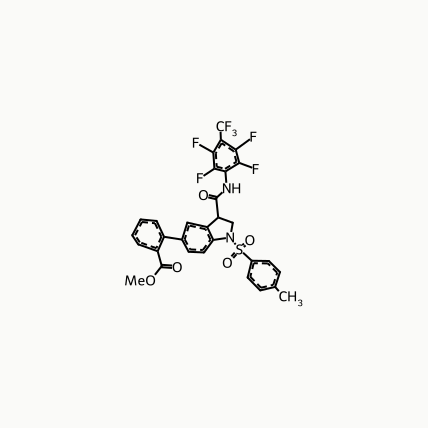 COC(=O)c1ccccc1-c1ccc2c(c1)C(C(=O)Nc1c(F)c(F)c(C(F)(F)F)c(F)c1F)CN2S(=O)(=O)c1ccc(C)cc1